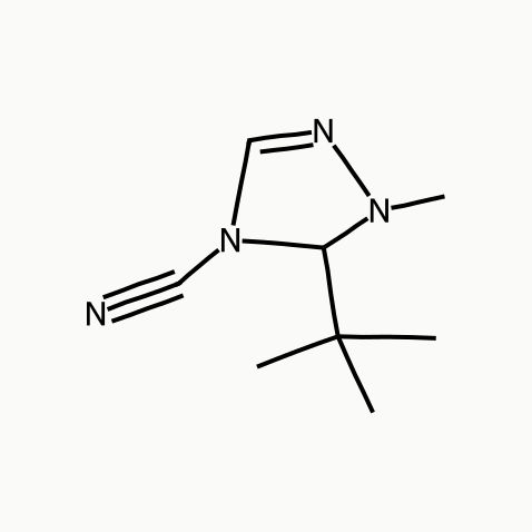 CN1N=CN(C#N)C1C(C)(C)C